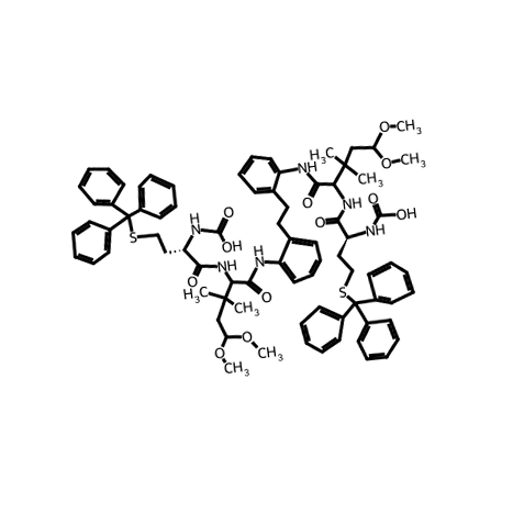 COC(CC(C)(C)C(NC(=O)[C@H](CCSC(c1ccccc1)(c1ccccc1)c1ccccc1)NC(=O)O)C(=O)Nc1ccccc1CCc1ccccc1NC(=O)C(NC(=O)[C@H](CCSC(c1ccccc1)(c1ccccc1)c1ccccc1)NC(=O)O)C(C)(C)CC(OC)OC)OC